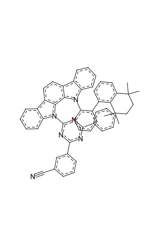 CC1(C)CCC(C)(C)c2c(-c3ccccc3-n3c4ccccc4c4ccc5c6ccccc6n(-c6nc(-c7ccccc7)nc(-c7cccc(C#N)c7)n6)c5c43)cccc21